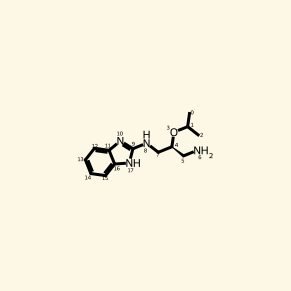 CC(C)O[C@@H](CN)CNc1nc2ccccc2[nH]1